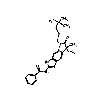 CC(C)(C)CCCN1C(=O)C(C)(C)c2cc3nc(NC(=O)c4ccccc4)[nH]c3cc21